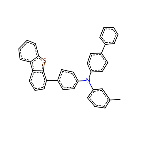 Cc1cccc(N(c2ccc(-c3ccccc3)cc2)c2ccc(-c3cccc4c3sc3ccccc34)cc2)c1